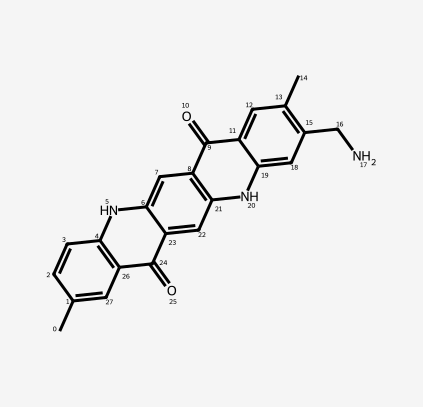 Cc1ccc2[nH]c3cc4c(=O)c5cc(C)c(CN)cc5[nH]c4cc3c(=O)c2c1